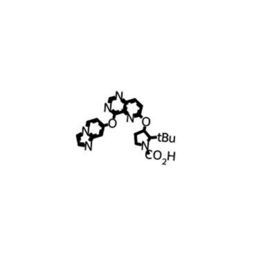 CC(C)(C)C1C(Oc2ccc3ncnc(Oc4ccn5ccnc5c4)c3n2)CCN1C(=O)O